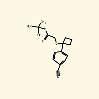 CC(C)(C)OC(=O)COC1(c2ccc(C#N)cc2)CCC1